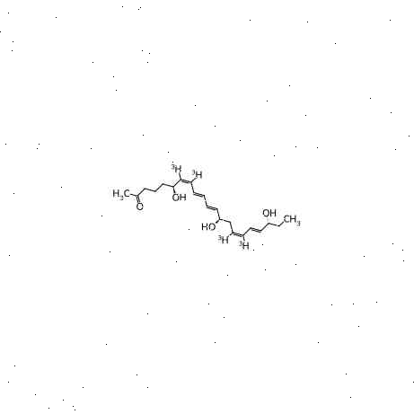 [3H]C(/C=C/[C@H](O)CC)=C(\[3H])C[C@@H](O)/C=C/C=C/C([3H])=C(/[3H])[C@@H](O)CCCC(C)=O